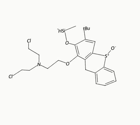 C[SiH](C)Oc1c(C(C)(C)C)cc2c(c1OCCN(CCCl)CCCl)Cc1ccccc1[S+]2[O-]